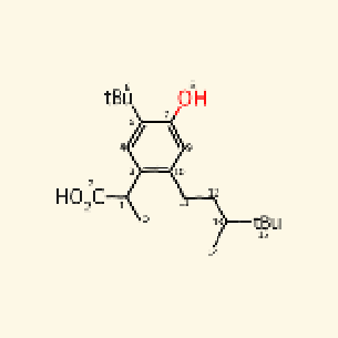 CC(C(=O)O)c1cc(C(C)(C)C)c(O)cc1CCC(C)C(C)(C)C